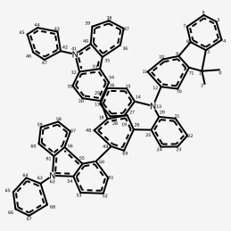 CC1(C)c2ccccc2-c2ccc(N(c3ccccc3)c3ccccc3-c3cc(-c4ccc5c(c4)c4ccccc4n5-c4ccccc4)cc(-c4cccc5c4c4ccccc4n5-c4ccccc4)c3)cc21